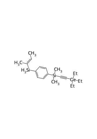 CC=C(C)[SiH2]c1ccc([Si](C)(C)C#[C][Ge]([CH2]C)([CH2]C)[CH2]C)cc1